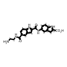 NCCNC(=O)c1ccc2[nH]c(C(=O)Nc3ccc4[nH]c(C(=O)O)cc4c3)cc2c1